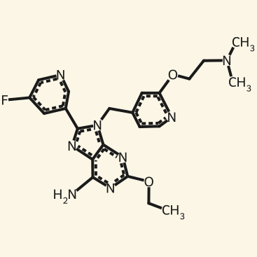 CCOc1nc(N)c2nc(-c3cncc(F)c3)n(Cc3ccnc(OCCN(C)C)c3)c2n1